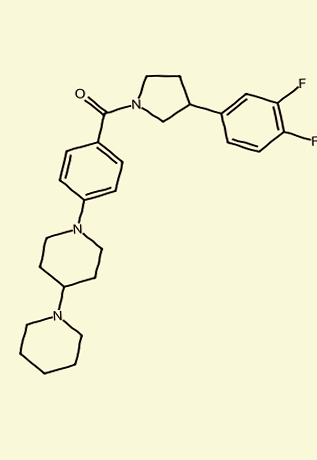 O=C(c1ccc(N2CCC(N3CCCCC3)CC2)cc1)N1CCC(c2ccc(F)c(F)c2)C1